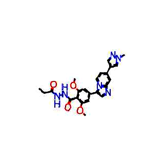 CCC(=O)NNC(=O)c1c(OC)cc(-c2cnc3cc(-c4cnn(C)c4)ccn23)cc1OC